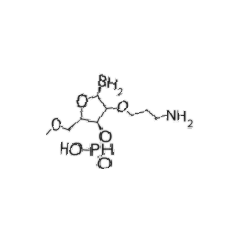 B[C@@H]1O[C@H](COC)[C@H](O[PH](=O)O)C1OCCCN